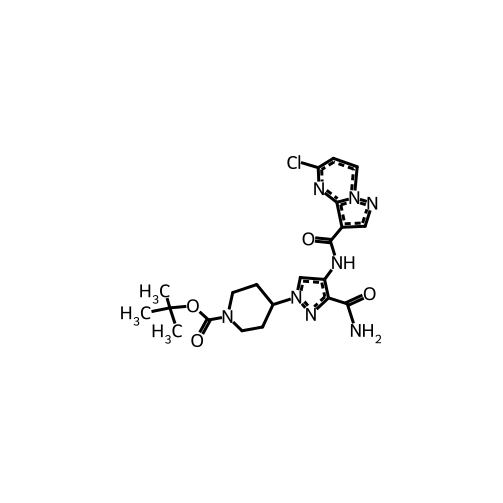 CC(C)(C)OC(=O)N1CCC(n2cc(NC(=O)c3cnn4ccc(Cl)nc34)c(C(N)=O)n2)CC1